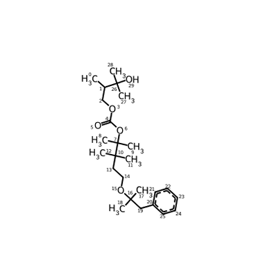 CC(COC(=O)OC(C)(C)C(C)(C)CCOC(C)(C)Cc1ccccc1)C(C)(C)O